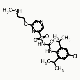 CNCCOc1cncc(S(=O)(=O)NC(=O)Nc2c(C(C)C)cc(Cl)cc2C(C)C)n1